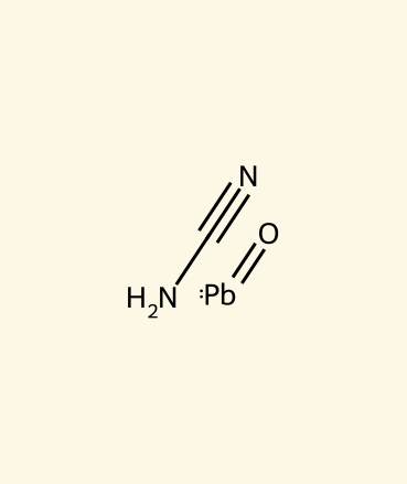 N#CN.[O]=[Pb]